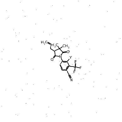 C=CCC1C(=O)N(c2ccc(C#N)c(C(F)(F)F)[c]2[Y])C(=O)C1(C)C